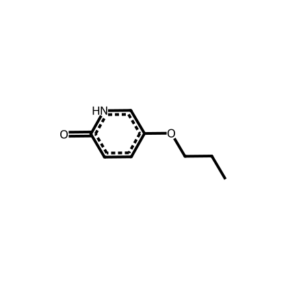 CCCOc1ccc(=O)[nH]c1